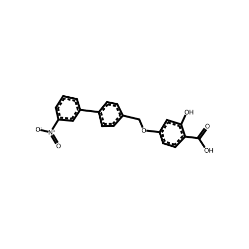 O=C(O)c1ccc(OCc2ccc(-c3cccc([N+](=O)[O-])c3)cc2)cc1O